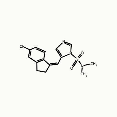 CN(C)S(=O)(=O)n1cncc1/C=C1/CCc2cc(Cl)ccc21